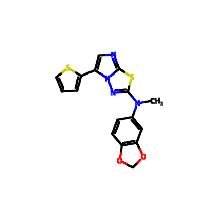 CN(c1ccc2c(c1)OCO2)c1nn2c(-c3cccs3)cnc2s1